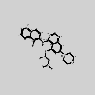 C[C@H](CN(C)C)Oc1cc(N2CCOCC2)cc2ncnc(Nc3ccc4ncccc4c3F)c12